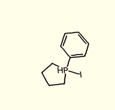 I[PH]1(c2ccccc2)CCCC1